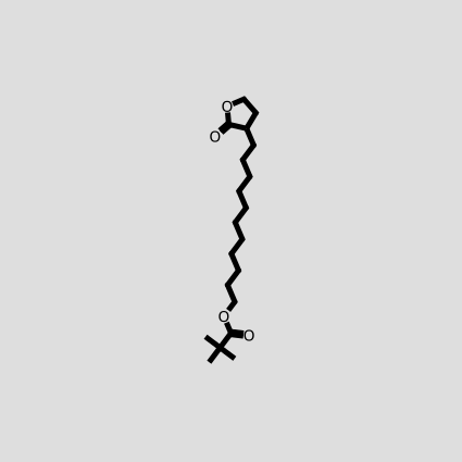 CC(C)(C)C(=O)OCCCCCCCCCCCC1CCOC1=O